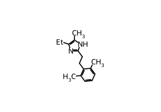 CCc1nc(CCc2c(C)cccc2C)[nH]c1C